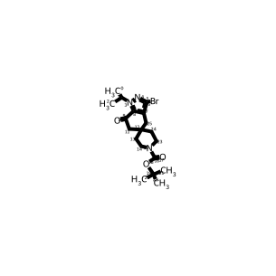 CC(C)n1nc(Br)c2c1C(=O)CC1(CCN(C(=O)OC(C)(C)C)CC1)C2